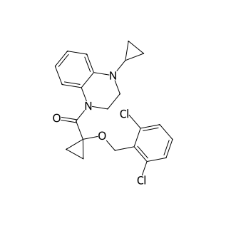 O=C(N1CCN(C2CC2)c2ccccc21)C1(OCc2c(Cl)cccc2Cl)CC1